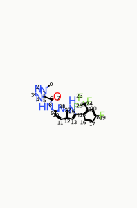 Cn1ncnc1C(=O)Nc1ccc2cc(-c3ccc(F)cc3C(F)(F)F)[nH]c2n1